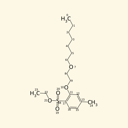 CCCCCCCOCCOc1cc(C)ccc1S(=O)(=O)OCC